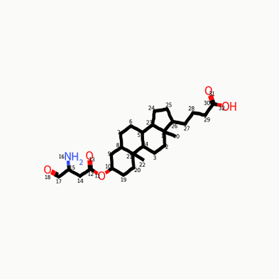 CC12CCC3C(CCC4CC(OC(=O)CC(N)C=O)CCC43C)C1CCC2CCCC(=O)O